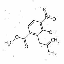 C=C(C)Cc1c(C(=O)OC)ccc([N+](=O)[O-])c1O